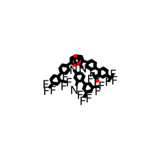 N#Cc1cc(-n2c3ccccc3c3ccc(-c4ccc(C(F)(F)F)cc4C(F)(F)F)cc32)c(-n2c3ccccc3c3ccc(-c4ccc(C(F)(F)F)cc4C(F)(F)F)cc32)cc1-c1cc(C(F)(F)F)cc(C(F)(F)F)c1